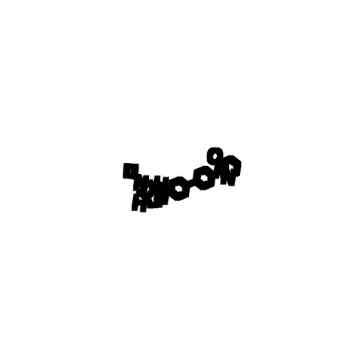 O=c1cccnn1-c1ccc(-c2ccc(N3CC[C@@H]4CN(C5=CC=C5)C[C@@H]43)cc2)cc1